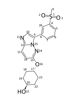 CS(=O)(=O)c1cccc(-c2cnc3ccc(O[C@H]4CC[C@H](O)CC4)nn23)c1